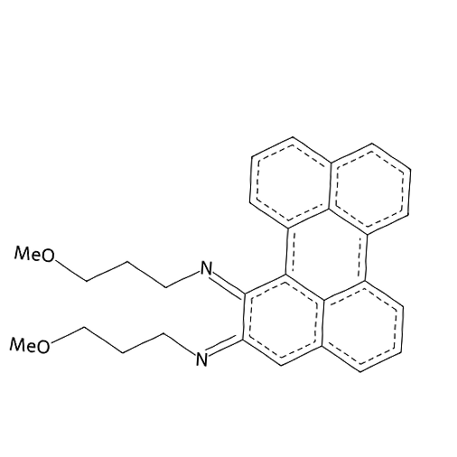 COCCCN=c1cc2cccc3c4cccc5cccc(c(c1=NCCCOC)c23)c54